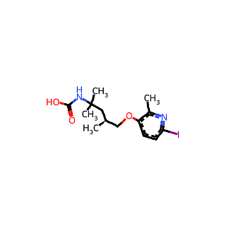 Cc1nc(I)ccc1OC[C@@H](C)CC(C)(C)NC(=O)O